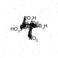 CC1(C)C(/C=C/C=C/C=C2/N(CCCCCC(=O)O)c3ccc(S(=O)(=O)O)cc3C2(C)C)=[N+](CCOCCOCc2ccc([N+](=O)[O-])cc2)c2ccc(S(=O)(=O)O)cc21